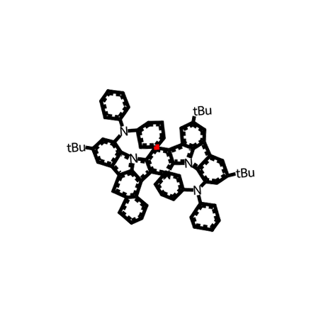 CC(C)(C)c1cc(N(c2ccccc2)c2ccccc2)c2c(c1)c1cc3ccccc3c3c4nc5c(cc4n2c13)c1cc(C(C)(C)C)cc2c3cc(C(C)(C)C)cc(N(c4ccccc4)c4ccccc4)c3n5c12